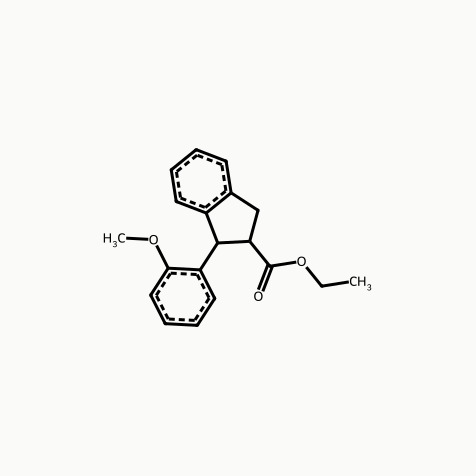 CCOC(=O)C1Cc2ccccc2C1c1ccccc1OC